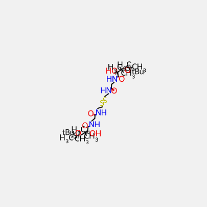 CC(C)(CO[Si](C)(C)C(C)(C)C)[C@@H](O)C(=O)NCCC(=O)NCCSSCCNC(=O)CCNC(=O)[C@H](O)C(C)(C)CO[Si](C)(C)C(C)(C)C